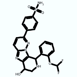 NS(=O)(=O)c1ccc(-c2ccc3nc4c(n3n2)C(c2ccccc2OC(F)F)NCC4O)cc1